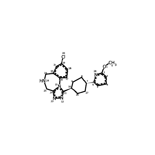 COc1cccc([C@H]2CC[C@H](c3nnc4n3-c3ccc(Cl)cc3CNC4)CC2)n1